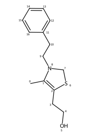 CC1=C(CCO)SCN1CCc1ccccc1